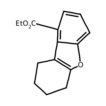 CCOC(=O)c1cccc2oc3c(c12)CCCC3